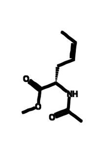 C/C=C\C[C@H](NC(C)=O)C(=O)OC